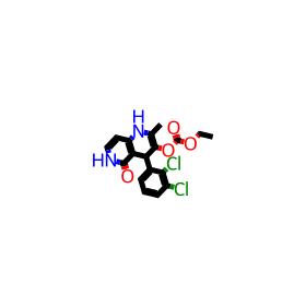 CCOC(=O)OC1=C(C)Nc2cc[nH]c(=O)c2C1c1cccc(Cl)c1Cl